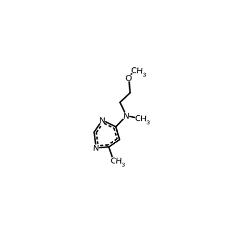 COCCN(C)c1cc(C)ncn1